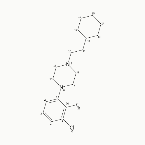 Clc1cccc(N2CCN(CCC3CCCCC3)CC2)c1Cl